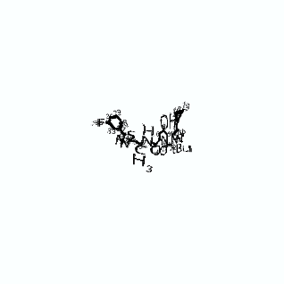 CC(NC(=O)C1CC(O)CN1C(=O)[C@@H](n1cc(C2CC2)nn1)C(C)(C)C)c1nnc(-c2cccc(F)c2)s1